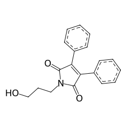 O=C1C(c2ccccc2)=C(c2ccccc2)C(=O)N1CCCO